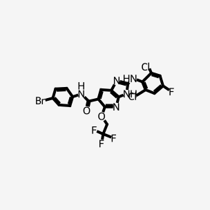 O=C(Nc1ccc(Br)cc1)c1cc2nc(Nc3c(Cl)cc(F)cc3Cl)[nH]c2nc1OCC(F)(F)F